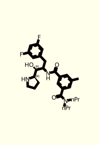 CCCN(CCC)C(=O)c1cc(C)cc(C(=O)NC(Cc2cc(F)cc(F)c2)[C@H](O)[C@H]2CCCN2)c1